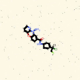 CCC(Cl)(CF)c1ccc(NC(=O)c2ccc3c(c2)N(N)c2ncccc2O3)cc1